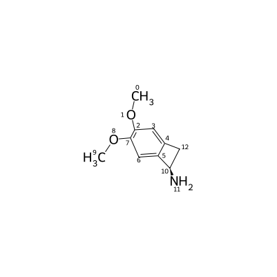 COc1cc2c(cc1OC)[C@H](N)C2